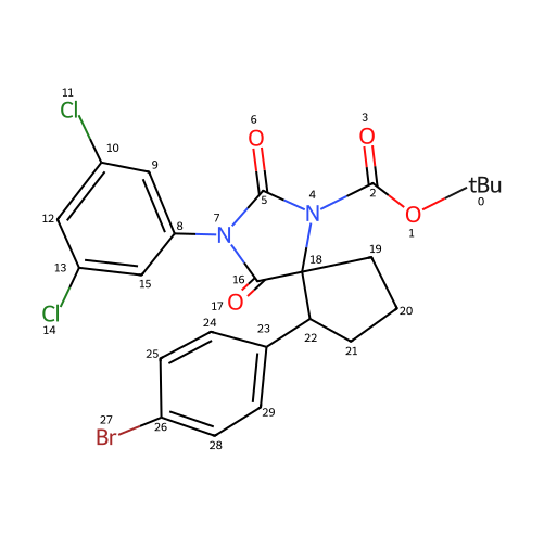 CC(C)(C)OC(=O)N1C(=O)N(c2cc(Cl)cc(Cl)c2)C(=O)C12CCCC2c1ccc(Br)cc1